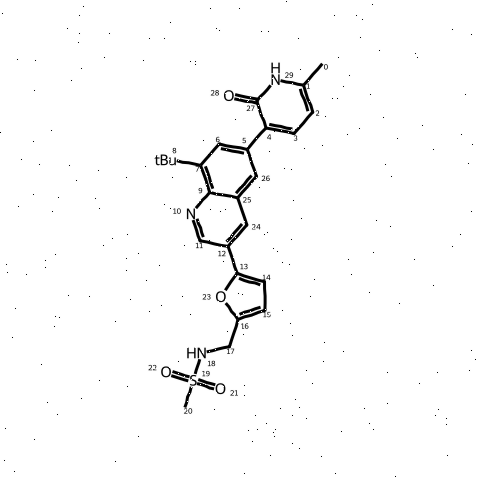 Cc1ccc(-c2cc(C(C)(C)C)c3ncc(-c4ccc(CNS(C)(=O)=O)o4)cc3c2)c(=O)[nH]1